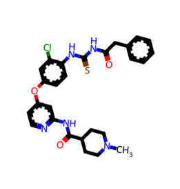 CN1CCC(C(=O)Nc2cc(Oc3ccc(NC(=S)NC(=O)Cc4ccccc4)c(Cl)c3)ccn2)CC1